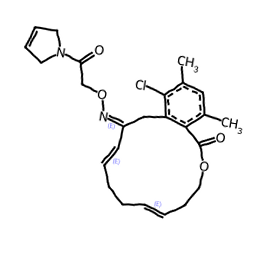 Cc1cc(C)c2c(c1Cl)CC(=N\OCC(=O)N1CC=CC1)/C=C/CC/C=C/CCOC2=O